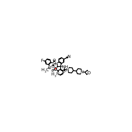 COc1cc(F)ccc1S(=O)(=O)N1C(=O)[C@@](NC(=O)N2CCC(C3CCN(C4COC4)CC3)CC2)(c2cccnc2OC)c2cc(C#N)ccc21